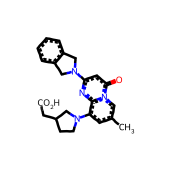 Cc1cc(N2CCC(CC(=O)O)C2)c2nc(N3Cc4ccccc4C3)cc(=O)n2c1